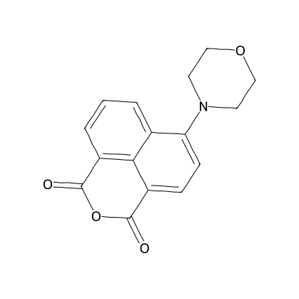 O=C1OC(=O)c2ccc(N3CCOCC3)c3cccc1c23